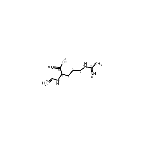 C=CNC(CCCNC(C)=N)C(=O)O